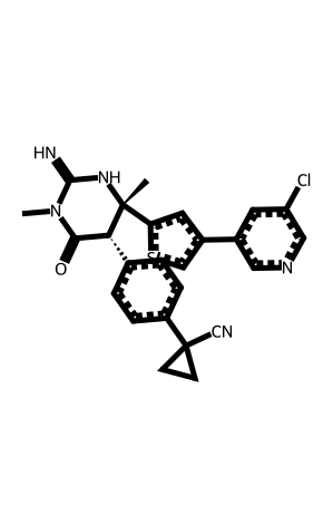 CN1C(=N)N[C@](C)(c2cc(-c3cncc(Cl)c3)cs2)[C@H](c2ccc(C3(C#N)CC3)cc2)C1=O